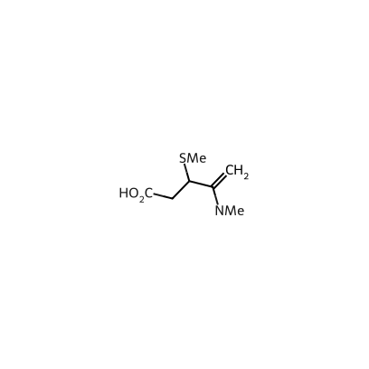 C=C(NC)C(CC(=O)O)SC